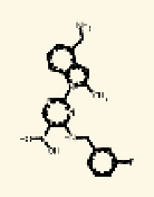 Cc1cc2c(CN)cccc2n1-c1ncc(B(O)O)c(NCc2cccc(F)c2)n1